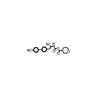 N#Cc1ccc(-c2ccc(C[C@@H](C#N)NC(=O)OC(=O)N3CCCOCC3)cc2)cc1